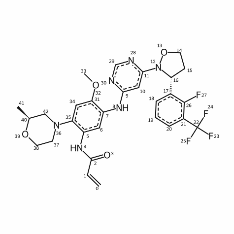 C=CC(=O)Nc1cc(Nc2cc(N3OCC[C@@H]3c3cccc(C(F)(F)F)c3F)ncn2)c(OC)cc1N1CCO[C@@H](C)C1